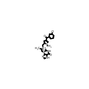 CC(Cn1c(=S)[nH]c(=O)c2[nH]cnc21)NCc1cc(C(=O)c2cccc(Cl)c2)cn1C